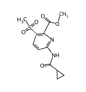 COC(=O)c1nc(NC(=O)C2CC2)ccc1S(C)(=O)=O